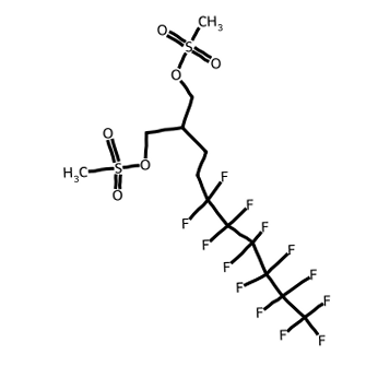 CS(=O)(=O)OCC(CCC(F)(F)C(F)(F)C(F)(F)C(F)(F)C(F)(F)C(F)(F)F)COS(C)(=O)=O